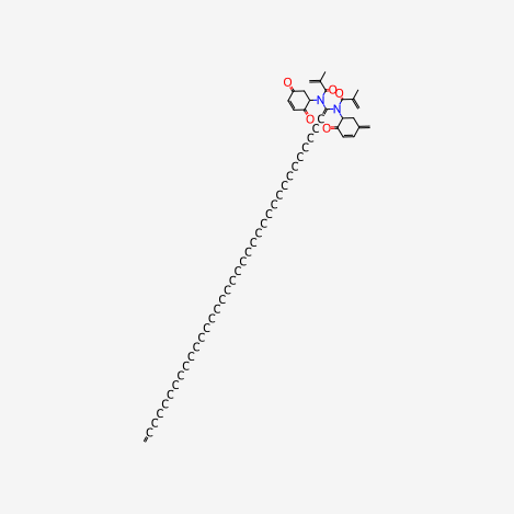 C=C=C=C=C=C=C=C=C=C=C=C=C=C=C=C=C=C=C=C=C=C=C=C=C=C=C=C=C=C=C=C=C=C=C=C(N(C(=O)C(=C)C)C1CC(=C)C=CC1=O)N(C(=O)C(=C)C)C1CC(=O)C=CC1=O